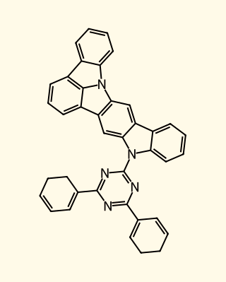 C1=CCCC(c2nc(C3=CCCC=C3)nc(-n3c4ccccc4c4cc5c(cc43)c3cccc4c6ccccc6n5c43)n2)=C1